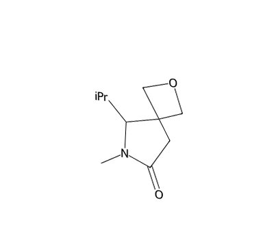 CC(C)C1N(C)C(=O)CC12COC2